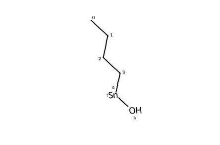 CCC[CH2][Sn][OH]